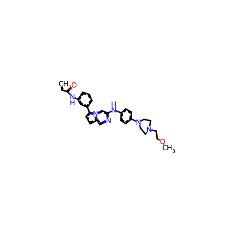 C=CC(=O)Nc1cccc(-c2ccc3cnc(Nc4ccc(N5CCN(CCOC)CC5)cc4)cn23)c1